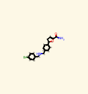 NC(=O)C1=CCC(c2ccc(CNCc3ccc(Br)cc3)cc2)O1